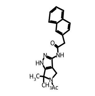 CC(=O)N1Cc2c(NC(=O)Cc3ccc4ccccc4c3)n[nH]c2C1(C)C